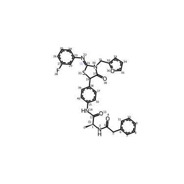 C[C@H](NC(=O)Cc1ccccc1)C(=O)Nc1ccc(C2S/C(=N\c3cccc(F)c3)N(Cc3ccco3)C2=O)cc1